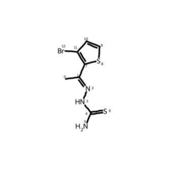 CC(=NNC(N)=S)c1sccc1Br